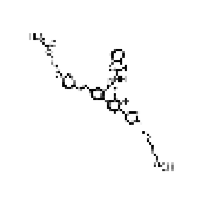 C=CC(=O)OCCCOc1ccc(/C=C/c2ccc(-c3ccc(-c4ccc(CCCCCCCOC)cc4)c(F)c3F)c(/C=N/Nc3nc4ccccc4o3)c2)cc1